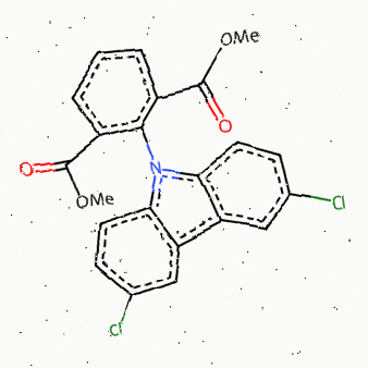 COC(=O)c1cccc(C(=O)OC)c1-n1c2ccc(Cl)cc2c2cc(Cl)ccc21